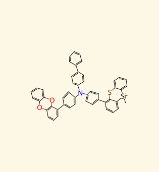 C[Si]1(C)c2ccccc2Sc2c(-c3ccc(N(c4ccc(-c5ccccc5)cc4)c4ccc(-c5cccc6c5Oc5ccccc5O6)cc4)cc3)cccc21